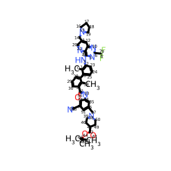 Cc1c(Nc2nc(C(F)F)nc3cc(CN4CCCC4)cnc23)cccc1-c1cccc(-c2nc3cc(CN4CCC(C(=O)OC(C)(C)C)CC4)cc(C#N)c3o2)c1C